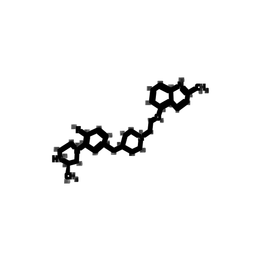 Cc1ccc2c(OCCN3CCC(Cc4ccc(F)c(N5CCN[C@H](C)C5)c4)CC3)cccc2n1